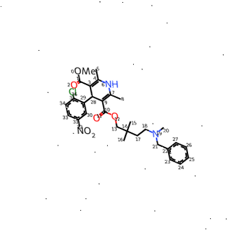 COC(=O)C1=C(C)NC(C)=C(C(=O)OCC(C)(C)CCN(C)Cc2ccccc2)C1c1cc([N+](=O)[O-])ccc1Cl